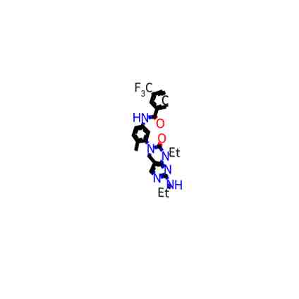 CCNc1ncc2c(n1)N(CC)C(=O)N(c1cc(NC(=O)c3cccc(C(F)(F)F)c3)ccc1C)C2